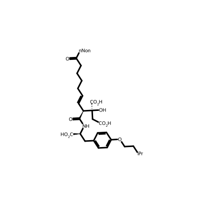 CCCCCCCCCC(=O)CCCC/C=C/[C@H](C(=O)N[C@@H](Cc1ccc(OCCC(C)C)cc1)C(=O)O)[C@@](O)(CC(=O)O)C(=O)O